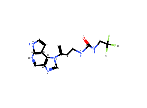 C=C(CCNC(=O)NCC(F)(F)F)n1cnc2cnc3[nH]ccc3c21